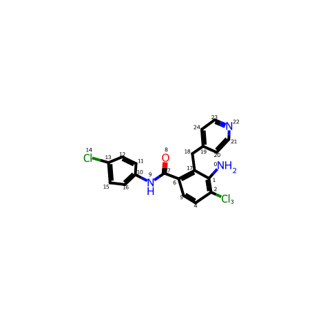 Nc1c(Cl)ccc(C(=O)Nc2ccc(Cl)cc2)c1Cc1ccncc1